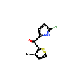 CCc1ccsc1C(=O)c1ccc(Cl)[nH]1